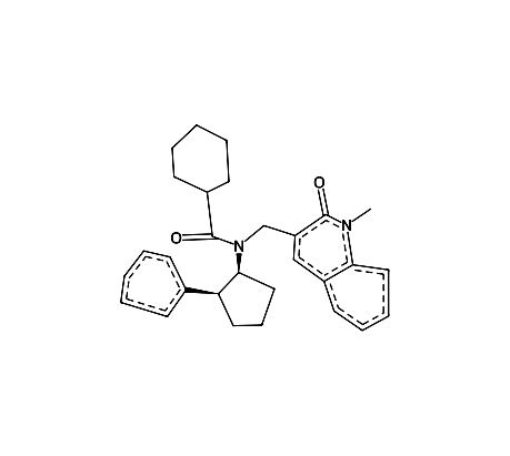 Cn1c(=O)c(CN(C(=O)C2CCCCC2)[C@H]2CCC[C@H]2c2ccccc2)cc2ccccc21